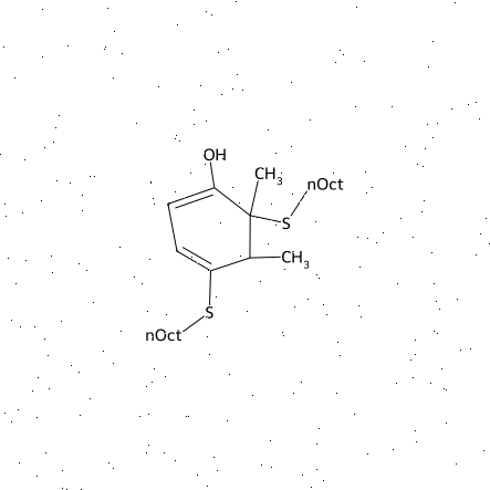 CCCCCCCCSC1=CC=C(O)C(C)(SCCCCCCCC)C1C